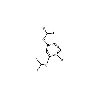 FC(F)Oc1ccc(Br)c(OC(F)F)c1